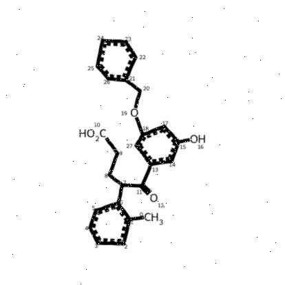 Cc1ccccc1C(CCC(=O)O)C(=O)c1cc(O)cc(OCc2ccccc2)c1